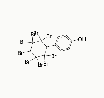 Oc1ccc(C2C(Br)(Br)C(Br)(Br)C(Br)C(Br)(Br)C2(Br)Br)cc1